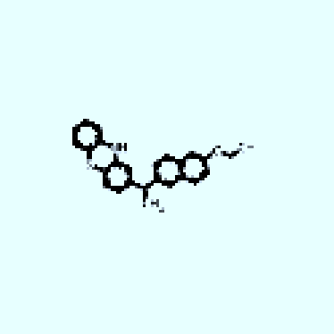 CCOc1ccc2cc(C(C)c3ccc4c(c3)Nc3ccccc3S4)ccc2c1